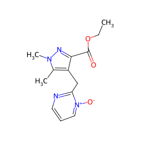 CCOC(=O)c1nn(C)c(C)c1Cc1nccc[n+]1[O-]